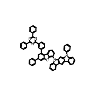 c1ccc(-c2cc(-c3cccc(-c4nc(-c5ccccc5)nc(-c5ccccc5)n4)c3)c3c(c2)oc2c(-n4c5ccccc5c5cc6c7ccccc7n(-c7ccccc7)c6cc54)cccc23)cc1